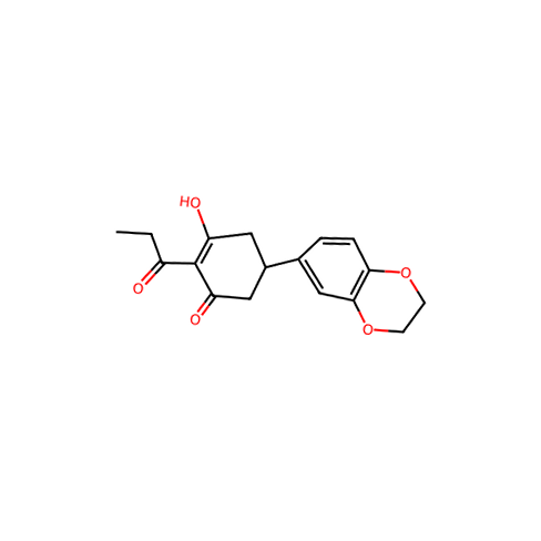 CCC(=O)C1=C(O)CC(c2ccc3c(c2)OCCO3)CC1=O